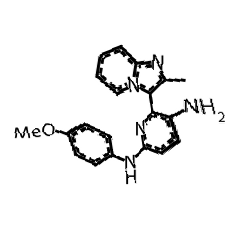 COc1ccc(Nc2ccc(N)c(-c3c(C)nc4ccccn34)n2)cc1